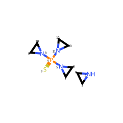 C1CN1.S=P(N1CC1)(N1CC1)N1CC1